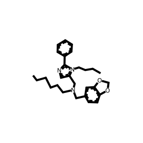 CCCCCCN(Cc1ccc2c(c1)OCO2)Cc1cnc(-c2ccccc2)n1CCCC